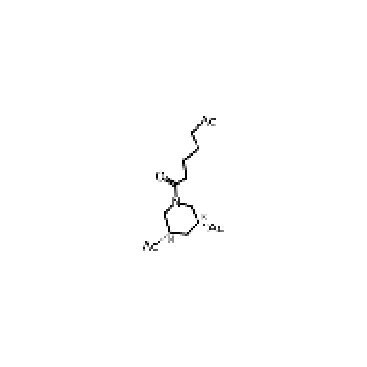 CC(=O)CCCCC(=O)N1C[C@H](C(C)=O)C[C@H](C(C)=O)C1